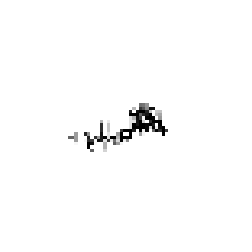 CN(C)CCNCCOc1ccc(-c2nnc3c(n2)c(=O)n(C)c(=O)n3-c2ccc(F)cc2)cc1